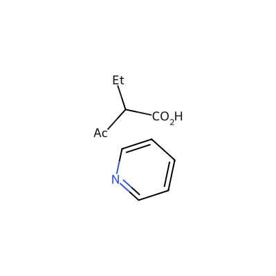 CCC(C(C)=O)C(=O)O.c1ccncc1